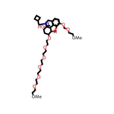 COCCOCCOCCOCCOCCOCCOC1CC[C@@]2(O)C3Cc4ccc(OCOCCOC)c5c4[C@@]2(CCN3CC2CCC2)[C@H]1O5